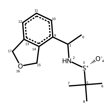 CC(N[S@+]([O-])C(C)(C)C)c1cccc2c1COC2